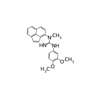 COc1ccc(NC(=N)N(C)c2ccc3cccc4c3c2C=C4)cc1OC